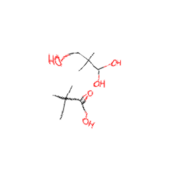 CC(C)(C)C(=O)O.CC(C)(CO)C(O)O